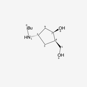 CCC(C)N[C@H]1C[C@H](CO)[C@H](O)C1